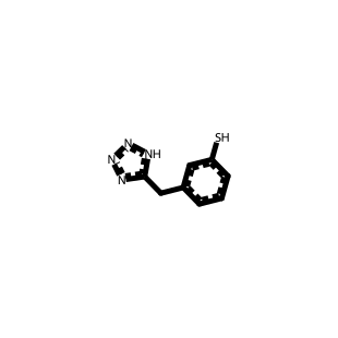 Sc1cccc(Cc2nnn[nH]2)c1